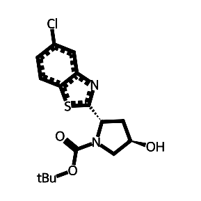 CC(C)(C)OC(=O)N1C[C@H](O)C[C@H]1c1nc2cc(Cl)ccc2s1